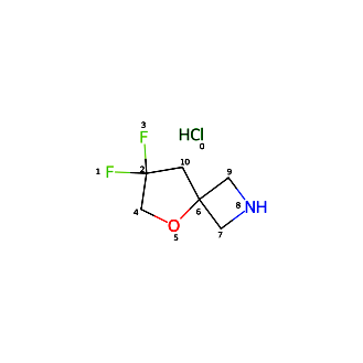 Cl.FC1(F)COC2(CNC2)C1